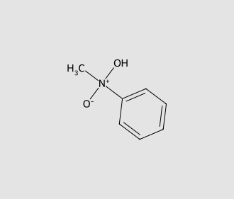 C[N+]([O-])(O)c1ccccc1